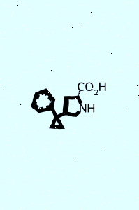 O=C(O)[C@H]1C=C(C2(c3ccccc3)CC2)CN1